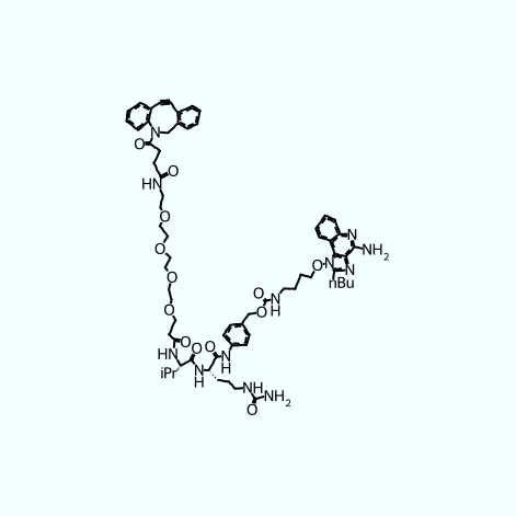 CCCCc1nc2c(N)nc3ccccc3c2n1OCCCCNC(=O)OCc1ccc(NC(=O)[C@H](CCCNC(N)=O)NC(=O)[C@@H](NC(=O)CCOCCOCCOCCOCCNC(=O)CCC(=O)N2Cc3ccccc3C#Cc3ccccc32)C(C)C)cc1